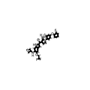 Cc1cc(Oc2ccccc2F)ccc1-n1ncc(C(=O)c2cc3cc(OCC(F)F)c(NC4COC4)cc3[nH]2)c1N